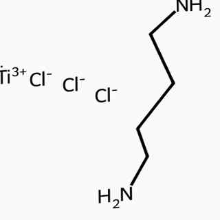 NCCCCN.[Cl-].[Cl-].[Cl-].[Ti+3]